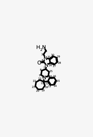 NCCn1c(=O)n(C2CCN(C3(c4ccccc4)CCCCCC3)CC2)c2ccccc21